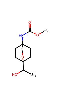 CC(O)C12CCC(NC(=O)OC(C)(C)C)(CC1)CO2